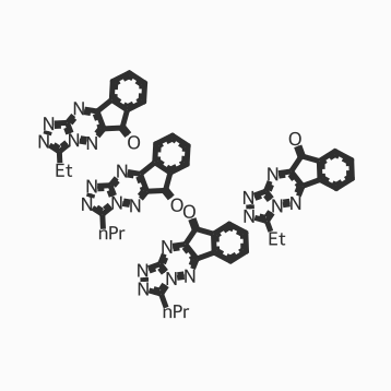 CCCc1nnc2nc3c(nn12)-c1ccccc1C3=O.CCCc1nnc2nc3c(nn12)C(=O)c1ccccc1-3.CCc1nnc2nc3c(nn12)-c1ccccc1C3=O.CCc1nnc2nc3c(nn12)C(=O)c1ccccc1-3